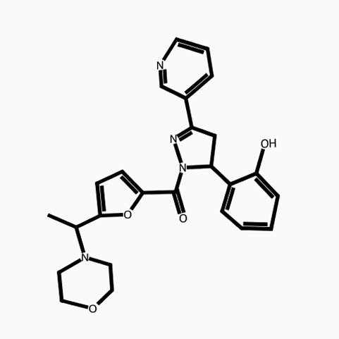 CC(c1ccc(C(=O)N2N=C(c3cccnc3)CC2c2ccccc2O)o1)N1CCOCC1